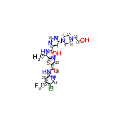 C[C@@H](NC(O)c1cc(N2CCN(CCO)CC2)ncn1)c1ncc(C(=O)Nc2cc(C(F)(F)F)c(Cl)cn2)s1